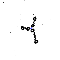 C(=C\C=C\c1ccc(N(c2ccc(/C=C/c3ccccc3)cc2)c2ccc(/C=C/c3ccccc3)cc2)cc1)/C=C/c1ccccc1